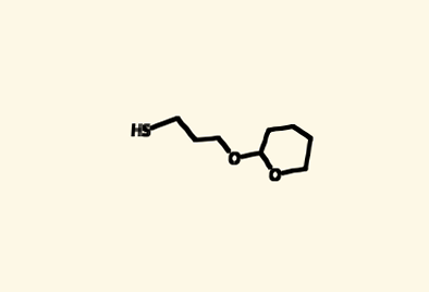 SCCCOC1CCCCO1